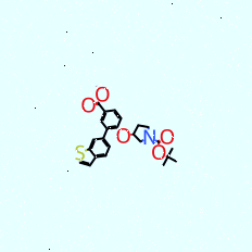 COC(=O)c1ccc(O[C@H]2CCN(C(=O)OC(C)(C)C)C2)c(-c2ccc3ccsc3c2)c1